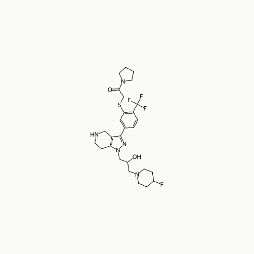 O=C(CSc1cc(-c2nn(CC(O)CN3CCC(F)CC3)c3c2CNCC3)ccc1C(F)(F)F)N1CCCC1